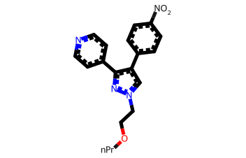 CCCOCCn1cc(-c2ccc([N+](=O)[O-])cc2)c(-c2ccncc2)n1